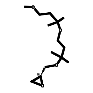 COCCC(C)(C)OCCC(C)(C)OC[C@H]1CO1